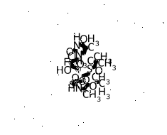 Cc1cn([C@@H]2O[C@H](CO[P@](=S)(N[C@@H](C)C(=O)OC(C)C)OCCSC(=O)C(C)(C)C)[C@@H](O)[C@@]2(F)Cl)c(=O)[nH]c1=O